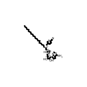 CCCCCCCCCCCCCCCCCCCC[C@H](COP(=O)(O)OC[C@@]1(C)O[C@@H](C2CC=C3C(N)=NC=NN32)[C@H](O)[C@@H]1O)OCc1ccc(C#N)nc1